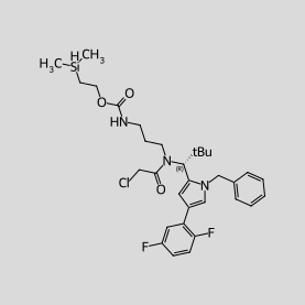 C[SiH](C)CCOC(=O)NCCCN(C(=O)CCl)[C@@H](c1cc(-c2cc(F)ccc2F)cn1Cc1ccccc1)C(C)(C)C